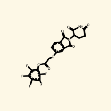 O=C1CCC(N2C(=O)c3ccc(OCC(=O)Oc4c(F)c(F)c(F)c(F)c4F)cc3C2=O)C(=O)N1